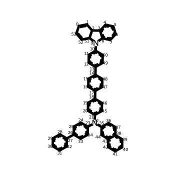 C1=CC2c3ccccc3N(c3ccc(-c4ccc(-c5ccc(N(c6ccc(-c7ccccc7)cc6)c6ccc7ccccc7c6)cc5)cc4)cc3)C2C=C1